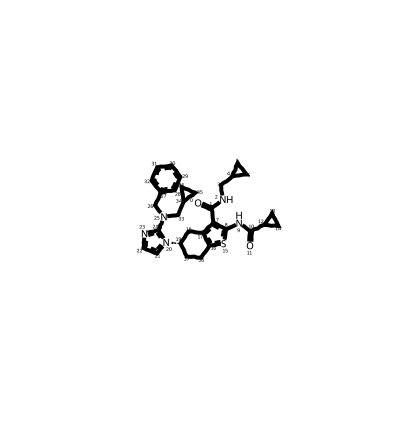 O=C(NCC1CC1)c1c(NC(=O)C2CC2)sc2c1C[C@@H](n1ccnc1N(Cc1ccccc1)CC1CC1)CC2